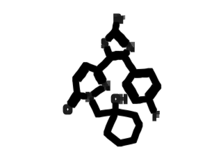 O=c1ccc(-c2sc(Br)nc2-c2ccc(F)cc2)nn1CC1(O)CCCCC1